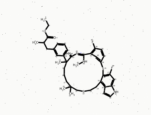 CCOC(=O)C(C)Cc1cccc(C2(C)CCCC(C)(C)CSCCc3c(c(F)cc4[nH]ccc34)Sc3ccc(F)c(c3)/C(NC)=N/C2=N)c1